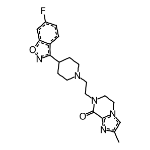 Cc1cn2c(n1)C(=O)N(CCN1CCC(c3noc4cc(F)ccc34)CC1)CC2